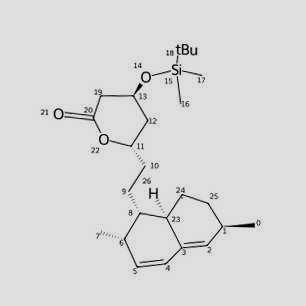 C[C@H]1C=C2C=C[C@H](C)[C@H](CC[C@H]3C[C@H](O[Si](C)(C)C(C)(C)C)CC(=O)O3)[C@H]2[CH]C1